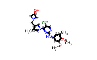 COc1cc(Nc2ncc(Cl)c(-n3cc(C)c(CN4CC(O)C4)c3)n2)cc(C)c1OC